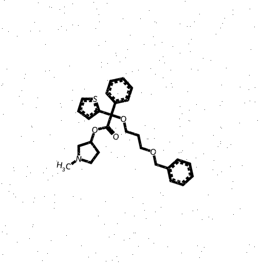 CN1CCC(OC(=O)C(OCCCOCc2ccccc2)(c2ccccc2)c2cccs2)C1